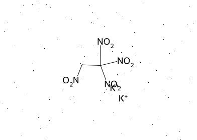 O=[N+]([O-])CC([N+](=O)[O-])([N+](=O)[O-])[N+](=O)[O-].[K+].[K+]